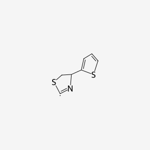 [C]1=NC(c2cccs2)CS1